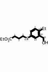 CCOC(=O)CCCSc1ccc(CC)c(CO)c1